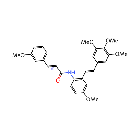 COc1cccc(/C=C/C(=O)Nc2ccc(OC)cc2C=Cc2cc(OC)c(OC)c(OC)c2)c1